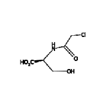 O=C(CCl)N[C@@H](CO)C(=O)O